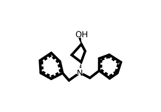 O[C@H]1C[C@H](N(Cc2ccccc2)Cc2ccccc2)C1